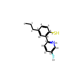 CCCc1ccc(S)c(-c2ccc(F)cn2)c1